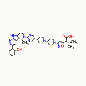 CC(C)C(C(=O)O)c1cc(N2CCC(N3CCC(c4cnc(N5CCc6[nH]c7nnc(-c8ccccc8O)cc7c6[C@@H]5C)nc4)CC3)CC2)no1